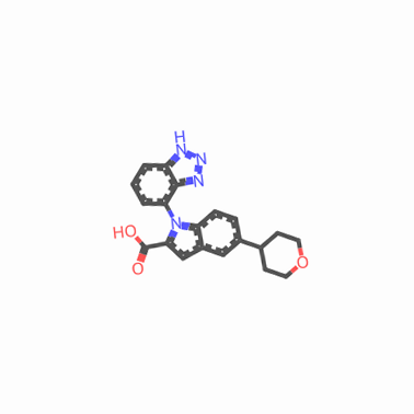 O=C(O)c1cc2cc(C3CCOCC3)ccc2n1-c1cccc2[nH]nnc12